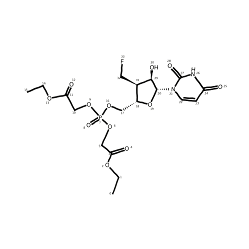 CCOC(=O)COP(=O)(OCC(=O)OCC)OC[C@H]1O[C@@H](n2ccc(=O)[nH]c2=O)[C@H](O)[C@@H]1CF